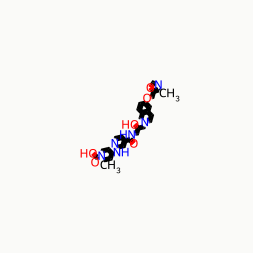 Cc1ncoc1COc1ccc2c(c1)CCN(CC(O)CNC(=O)c1ccnc(N[C@H]3CCN(C(=O)O)[C@H](C)C3)c1)C2